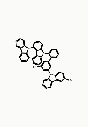 N#Cc1cc(-c2ccccc2-n2c3ccccc3c3c(-n4c5ccccc5c5ccccc54)cccc32)cc(-n2c3ccccc3c3cc(C#N)ccc32)c1